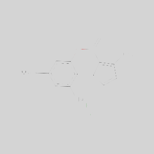 Cl.Cl.[CH2]=[Ti]([O]c1cc(OC)cc(C(C)(C)C)c1)[C]1=C(C(C)(C)C)C=CC1